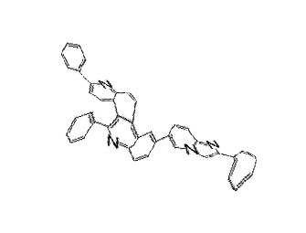 c1ccc(-c2ccc3c(ccc4c5cc(-c6ccc7nc(-c8ccccc8)cn7c6)ccc5nc(-c5ccccc5)c34)n2)cc1